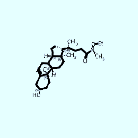 CCON(C)C(=O)CC[C@@H](C)[C@H]1CC[C@H]2C3CC=C4C[C@@H](O)CC[C@]4(C)[C@H]3CC[C@]12C